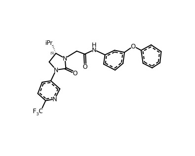 CC(C)[C@H]1CN(c2ccc(C(F)(F)F)nc2)C(=O)N1CC(=O)Nc1cccc(Oc2ccccc2)c1